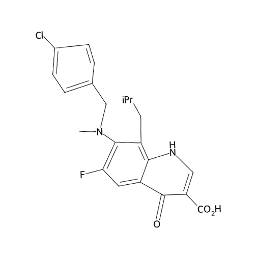 CC(C)Cc1c(N(C)Cc2ccc(Cl)cc2)c(F)cc2c(=O)c(C(=O)O)c[nH]c12